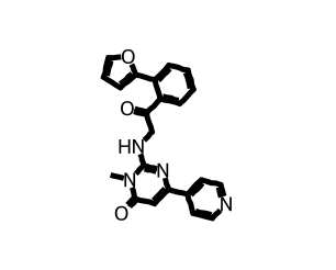 Cn1c(NCC(=O)c2ccccc2-c2ccco2)nc(-c2ccncc2)cc1=O